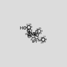 CC(C)C[C@@H](C(=O)NN(Cc1cccc(O)c1)S(C)(=O)=O)[C@H](CC=Cc1ccccc1)C(=O)OC1CCCCO1